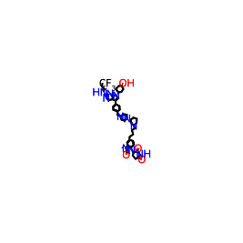 Cn1c(=O)n(C2CCC(=O)NC2=O)c2ccc(CCCCN3CCCC(N4CCN(Cc5ccc(-c6cn([C@H]7CC[C@H](O)CC7)c7nc(NCCC(F)(F)F)ncc67)cc5)CC4)C3)cc21